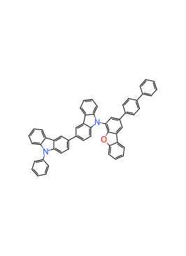 c1ccc(-c2ccc(-c3cc(-n4c5ccccc5c5cc(-c6ccc7c(c6)c6ccccc6n7-c6ccccc6)ccc54)c4oc5ccccc5c4c3)cc2)cc1